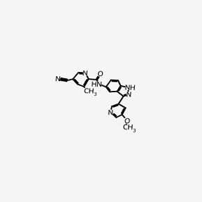 COc1cncc(-c2n[nH]c3ccc(NC(=O)c4ncc(C#N)cc4C)cc23)c1